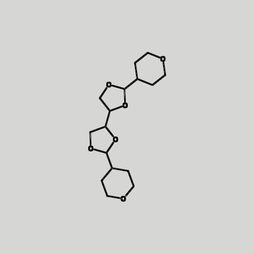 C1CC(C2OCC(C3COC(C4CCOCC4)O3)O2)CCO1